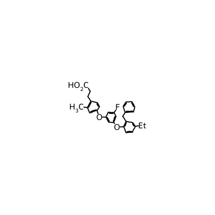 CCc1ccc(Oc2cc(F)cc(Oc3ccc(CCC(=O)O)c(C)c3)c2)c(Cc2ccccc2)c1